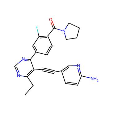 CCc1ncnc(-c2ccc(C(=O)N3CCCC3)c(F)c2)c1C#Cc1ccc(N)nc1